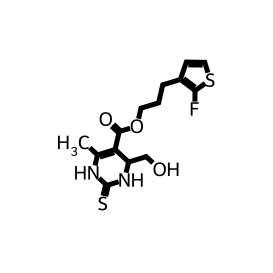 CC1=C(C(=O)OCCCc2ccsc2F)C(CO)NC(=S)N1